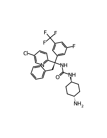 N[C@H]1CC[C@H](NC(=O)N[C@@](Cc2ccccc2)(c2cc(F)cc(C(F)(F)F)c2)c2ccc(Cl)cn2)CC1